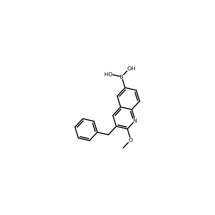 COc1nc2ccc(B(O)O)cc2cc1Cc1ccccc1